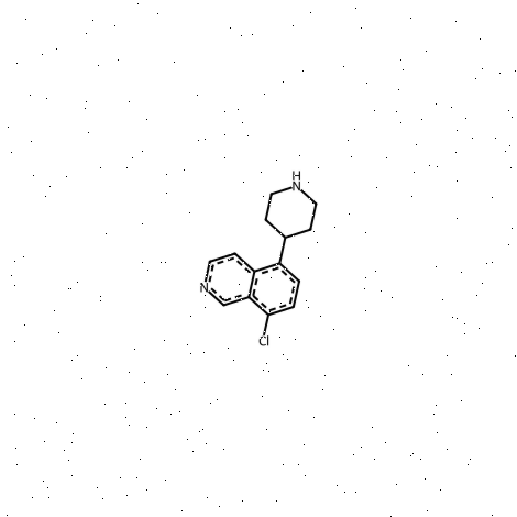 Clc1ccc(C2CCNCC2)c2ccncc12